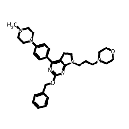 CN1CCN(c2ccc(-c3nc(OCc4ccccc4)nc4c3CCN4CCCN3CCOCC3)cc2)CC1